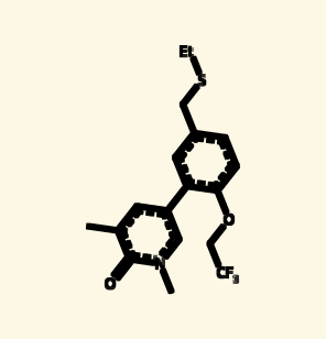 CCSCc1ccc(OCC(F)(F)F)c(-c2cc(C)c(=O)n(C)c2)c1